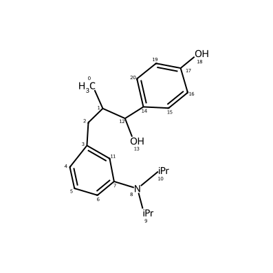 CC(Cc1cccc(N(C(C)C)C(C)C)c1)C(O)c1ccc(O)cc1